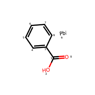 O=C(O)c1ccccc1.[Pb]